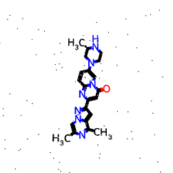 Cc1cn2nc(-c3cc(=O)n4cc(N5CCN[C@H](C)C5)ccc4n3)cc2c(C)n1